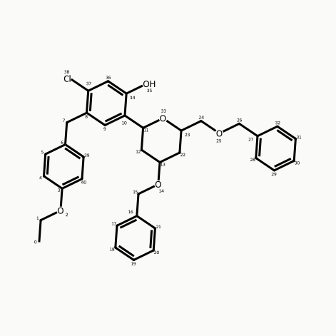 CCOc1ccc(Cc2cc(C3CC(OCc4ccccc4)CC(COCc4ccccc4)O3)c(O)cc2Cl)cc1